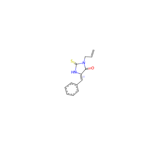 C=CCN1C(=O)/C(=C/c2ccccc2)NC1=S